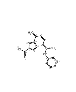 C=C(/C=C\N=C(/N)Nc1cccnc1)c1ccc(C(=O)O)s1